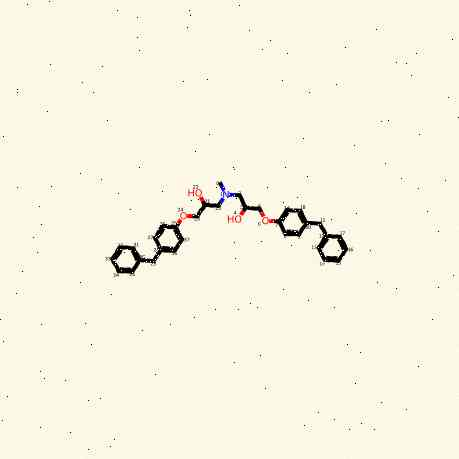 CN(CC(O)COc1ccc(Cc2ccccc2)cc1)CC(O)COc1ccc(Cc2ccccc2)cc1